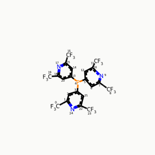 FC(F)(F)c1cc(P(c2cc(C(F)(F)F)nc(C(F)(F)F)c2)c2cc(C(F)(F)F)nc(C(F)(F)F)c2)cc(C(F)(F)F)n1